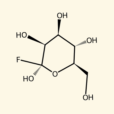 OC[C@H]1O[C@@](O)(F)[C@@H](O)[C@@H](O)[C@@H]1O